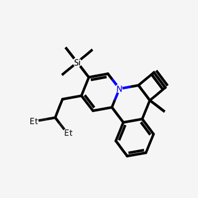 CCC(CC)CC1=CC2c3ccccc3C3(C)C#CC3N2C=C1[Si](C)(C)C